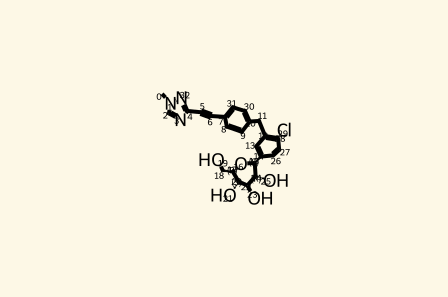 Cn1cnc(C#Cc2ccc(Cc3cc([C@@H]4O[C@H](CO)[C@@H](O)C(O)[C@H]4O)ccc3Cl)cc2)n1